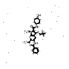 CCc1nc2c(cc1NC(=O)c1ccccc1)c(OCC(F)(F)F)c(C(=O)N[C@H]1CC[C@H](O)CC1)n2C